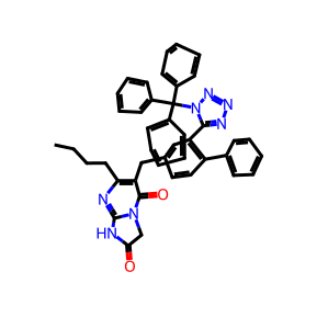 CCCCc1nc2n(c(=O)c1Cc1ccc(-c3ccccc3)c(-c3nnnn3C(c3ccccc3)(c3ccccc3)c3ccccc3)c1)CC(=O)N2